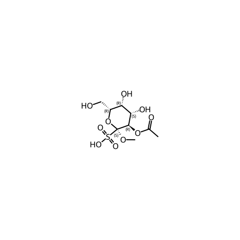 CO[C@]1(S(=O)(=O)O)O[C@H](CO)[C@H](O)[C@H](O)[C@H]1OC(C)=O